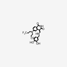 O=C1NC(=O)c2ccc(N(CCC(F)(F)F)CCC(F)(F)F)cc2C1=CNCc1ccc(O)c(O)c1